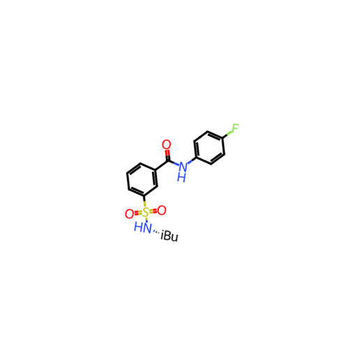 CC[C@@H](C)NS(=O)(=O)c1cccc(C(=O)Nc2ccc(F)cc2)c1